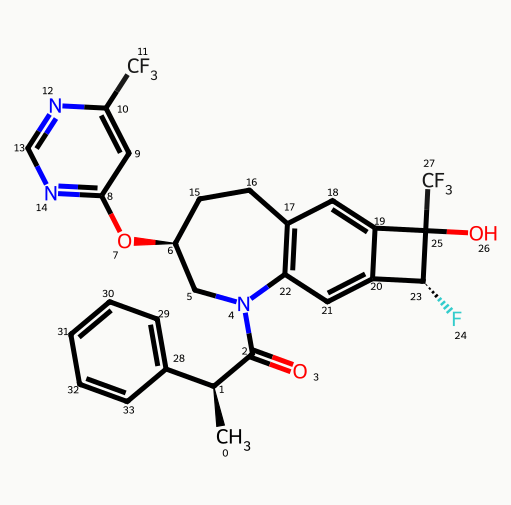 C[C@H](C(=O)N1C[C@@H](Oc2cc(C(F)(F)F)ncn2)CCc2cc3c(cc21)[C@@H](F)C3(O)C(F)(F)F)c1ccccc1